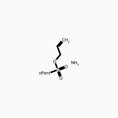 C=CCOS(=O)(=O)CCCCC.N